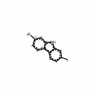 Cc1ccc2c(c1)[nH]c1cc(C(C)C)ccc12